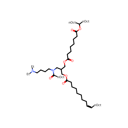 CCCCCCCC/C=C\CCCCCCCC(=O)OCC(COC(=O)CCCCCCC(=O)OC(CCCCCCCC)CCCCCCCC)CN(CCCCN(CC)CC)C(=O)CCCCCCCC